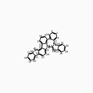 c1ccc(-n2c(-n3c4ccccc4c4c5sc6ccccc6c5ccc43)nc3ccccc32)cc1